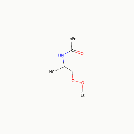 CCCC(=O)NC(C#N)COOCC